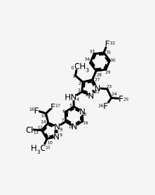 CCc1c(Nc2cc(-n3nc(C)c(Cl)c3C(F)F)ncn2)nn(CC(F)F)c1-c1ccc(F)cc1